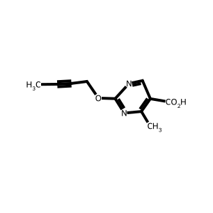 CC#CCOc1ncc(C(=O)O)c(C)n1